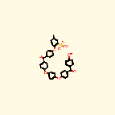 COc1ccc(C(=O)c2ccc(Oc3ccc(Oc4ccc(C(=O)c5ccc(Oc6ccc(C)cc6S(=O)(=O)O)cc5)cc4)cc3)cc2)cc1